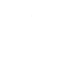 C=CC(F)CCC